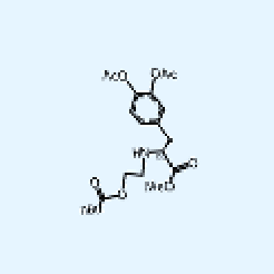 CCCCC(=O)OCCN[C@@H](Cc1ccc(OC(C)=O)c(OC(C)=O)c1)C(=O)OC